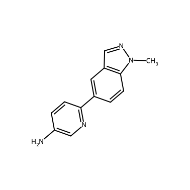 Cn1ncc2cc(-c3ccc(N)cn3)ccc21